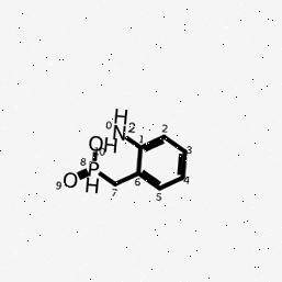 Nc1ccccc1C[PH](=O)O